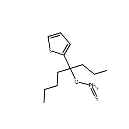 CCCCC(CCC)(O[PH2]=S)c1cccs1